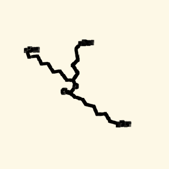 CCCCCCCCCCCCCCCCCC(=O)OC(CCCCCCCCCCCCCC)CCCCCCCCCCCCCCCCC